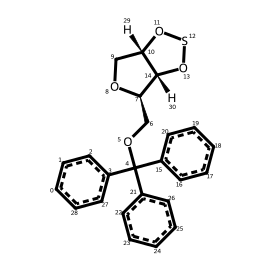 c1ccc(C(OC[C@H]2OC[C@@H]3OSO[C@@H]32)(c2ccccc2)c2ccccc2)cc1